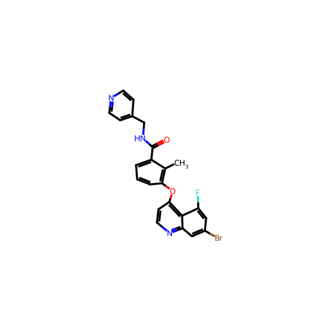 Cc1c(Oc2ccnc3cc(Br)cc(F)c23)cccc1C(=O)NCc1ccncc1